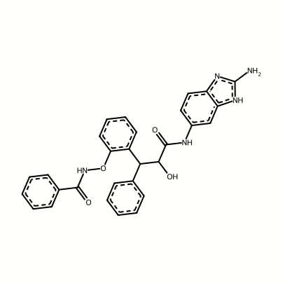 Nc1nc2ccc(NC(=O)C(O)C(c3ccccc3)c3ccccc3ONC(=O)c3ccccc3)cc2[nH]1